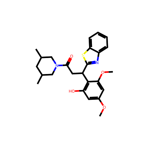 COc1cc(O)c(C(CC(=O)N2CC(C)CC(C)C2)c2nc3ccccc3s2)c(OC)c1